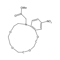 COC(=O)CN1CCOCCOCCOCCOc2cc([N+](=O)[O-])ccc21